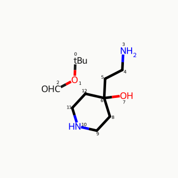 CC(C)(C)OC=O.NCCC1(O)CCNCC1